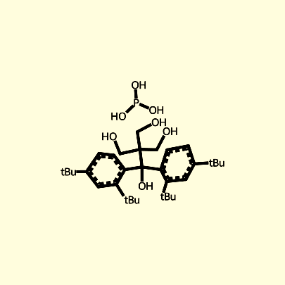 CC(C)(C)c1ccc(C(O)(c2ccc(C(C)(C)C)cc2C(C)(C)C)C(CO)(CO)CO)c(C(C)(C)C)c1.OP(O)O